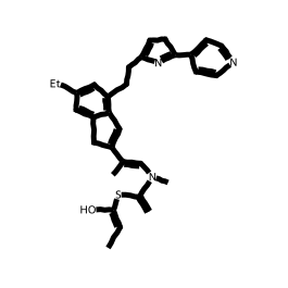 C=C(S/C(O)=C/C)N(C)/C=C(\C)C1=Cc2c(CCC3=CCC(c4ccncc4)=N3)cc(CC)cc2C1